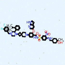 CC(C)c1ccccc1C1CN(Cc2ccc(F)c(F)c2)CCN1C1CC2(CCN(c3ccc(C(=O)NS(=O)(=O)c4ccc(NCC5CCC(C)(O)CC5)c([N+](=O)[O-])c4)c(Oc4cnc5[nH]ccc5c4)c3)CC2)C1